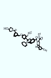 Cl.O=C(NC(Cc1c[nH]c2ccc(O)cc12)C(=O)O)c1ccc2c(c1)nc(-c1ccc(OCc3cccc(C(=O)N4CCC(O)CC4)c3)cc1F)n2C1CCCCC1